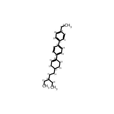 CCc1ccc(-c2ccc(C3=CCC(CCC(CC)CC)CC3)cc2)cc1